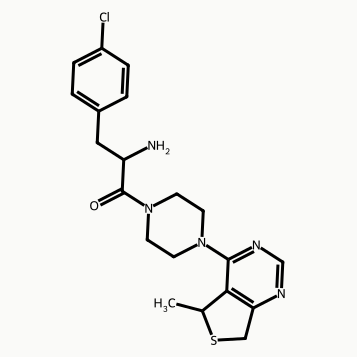 CC1SCc2ncnc(N3CCN(C(=O)C(N)Cc4ccc(Cl)cc4)CC3)c21